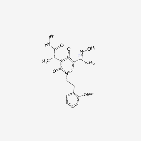 COc1ccccc1CCn1cc(/C(N)=N/O)c(=O)n(C(C)C(=O)NC(C)C)c1=O